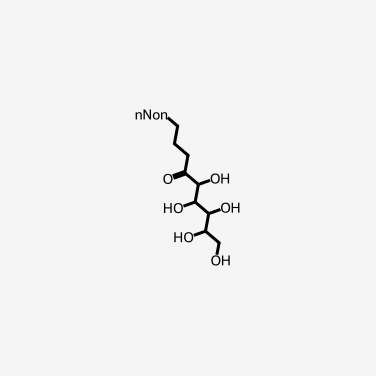 CCCCCCCCCCCCC(=O)C(O)C(O)C(O)C(O)CO